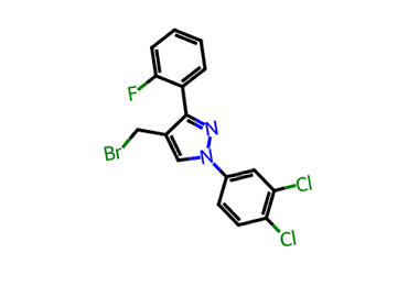 Fc1ccccc1-c1nn(-c2ccc(Cl)c(Cl)c2)cc1CBr